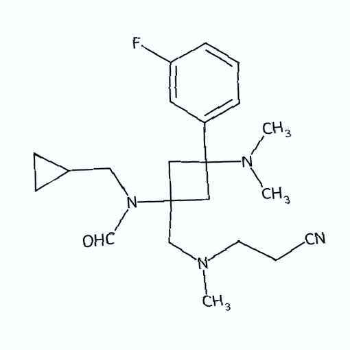 CN(CCC#N)CC1(N(C=O)CC2CC2)CC(c2cccc(F)c2)(N(C)C)C1